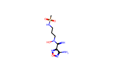 CS(=O)(=O)NCCCN(O)C(=N)c1nonc1N